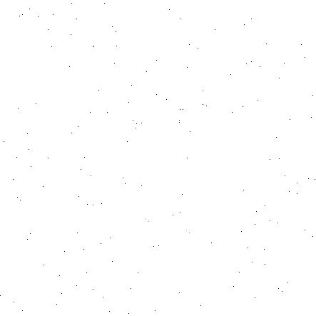 CC1(C)CCC(C)(C)c2cc3c(cc21)CC(C1C=CC(c2nc4ccccc4nc2-c2cccc4c2sc2ccccc24)=CC1)c1ccccc1-3